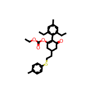 CCOC(=O)OC1=C(c2c(CC)cc(C)cc2CC)C(=O)CC(CCSc2ccc(C)cc2)C1